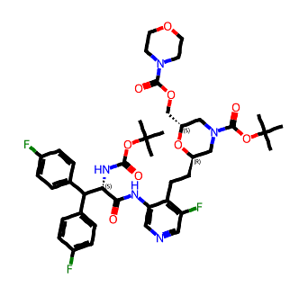 CC(C)(C)OC(=O)N[C@H](C(=O)Nc1cncc(F)c1CC[C@@H]1CN(C(=O)OC(C)(C)C)C[C@@H](COC(=O)N2CCOCC2)O1)C(c1ccc(F)cc1)c1ccc(F)cc1